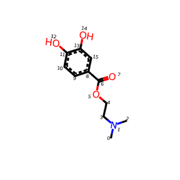 CN(C)CCOC(=O)c1ccc(O)c(O)c1